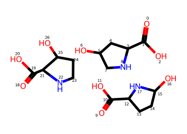 O=C(O)C1CC(O)CN1.O=C(O)C1CCC(O)N1.O=C(O)C1NCCC1O